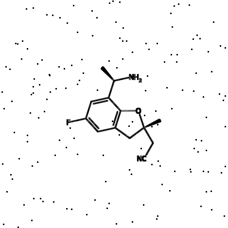 C[C@@H](N)c1cc(F)cc2c1O[C@](C)(CC#N)C2